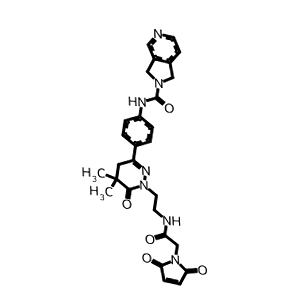 CC1(C)CC(c2ccc(NC(=O)N3Cc4ccncc4C3)cc2)=NN(CCNC(=O)CN2C(=O)C=CC2=O)C1=O